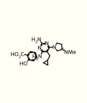 CN[C@@H]1CCN(c2nc(N)nc(N)c2CC2CC2)C1.O=C(O)c1ccccc1O